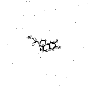 CC(C)(C)OC(=O)N1CCN2c3cc(F)c(Br)cc3OC[C@H]2C1